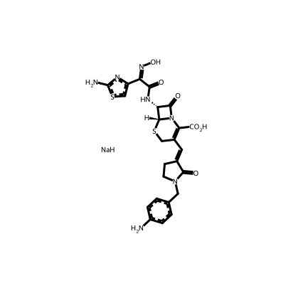 Nc1ccc(CN2CCC(=CC3=C(C(=O)O)N4C(=O)[C@@H](NC(=O)/C(=N\O)c5csc(N)n5)[C@H]4SC3)C2=O)cc1.[NaH]